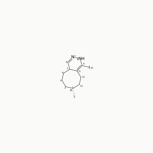 C[C@@H]1CCCC2C=NNC(I)=C2CC1